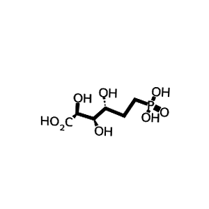 O=C(O)[C@@H](O)[C@H](O)[C@H](O)CCP(=O)(O)O